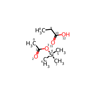 CC(=O)O[Si](C)(C)C.CCC(=O)O